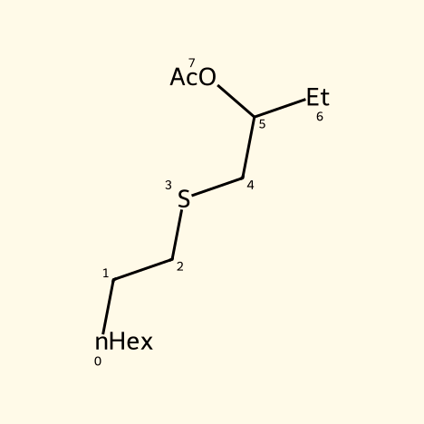 CCCCCCCCSCC(CC)OC(C)=O